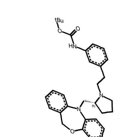 CC(C)(C)OC(=O)Nc1cccc(CCN2CCC[C@@H]2CN2c3ccccc3COc3ccccc32)c1